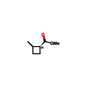 COC(=O)[C@@H]1CCC1C